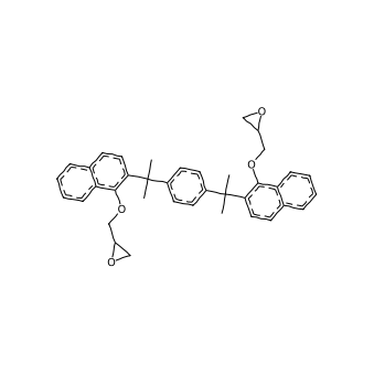 CC(C)(c1ccc(C(C)(C)c2ccc3ccccc3c2OCC2CO2)cc1)c1ccc2ccccc2c1OCC1CO1